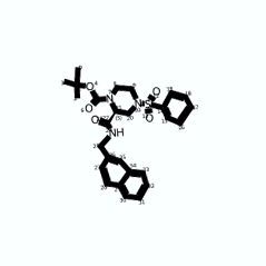 CC(C)(C)OC(=O)N1CCN(S(=O)(=O)c2ccccc2)C[C@H]1C(=O)NCc1ccc2ccccc2c1